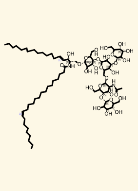 CCCCCCCC/C=C\CCCCCCCCCCCCCC(=O)N[C@@H](CO[C@@H]1OC(CO)[C@@H](O[C@@H]2OC(CO[C@@H]3OC(CO)[C@@H](O[C@@H]4OC(CO)[C@H](O)[C@H](O)C4O)[C@H](O)C3NC(C)=O)[C@H](O)[C@H](O[C@H]3OC(CO)[C@H](O)[C@H](O)C3O)C2O)[C@H](O)C1O)[C@H](O)/C=C/CCCCCCCCCCCCC